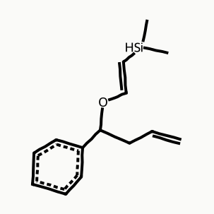 C=CCC(OC=C[SiH](C)C)c1ccccc1